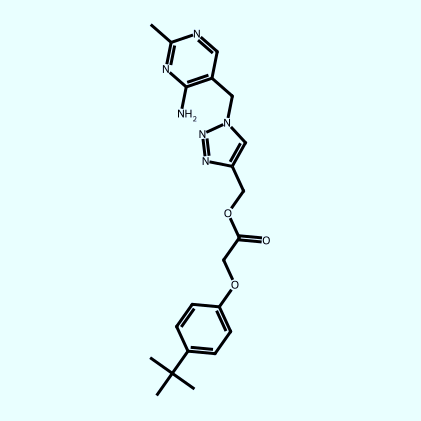 Cc1ncc(Cn2cc(COC(=O)COc3ccc(C(C)(C)C)cc3)nn2)c(N)n1